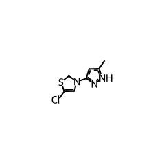 Cc1cc(N2C=C(Cl)SC2)n[nH]1